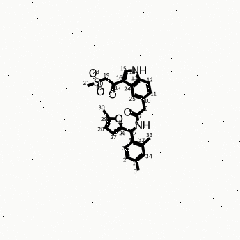 Cc1ccc(C(NC(=O)Cc2ccc3[nH]cc(C(=O)CS(C)(=O)=O)c3c2)c2ccc(C)o2)c(C)c1